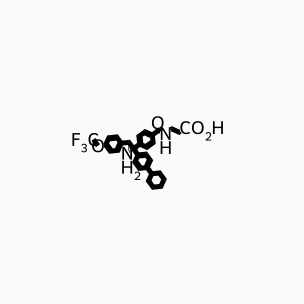 N[C@@](Cc1ccc(OC(F)(F)F)cc1)(c1ccc(C(=O)NCCC(=O)O)cc1)c1ccc(C2CCCCC2)cc1